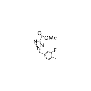 COC(=O)c1ncn(Cc2ccc(C)c(F)c2)n1